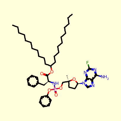 CCCCCCCCCCCC(CCCCCCCCCCC)OC(=O)[C@H](Cc1ccccc1)NP(=O)(OC[C@]1(C)CC[C@H](n2cnc3c(N)nc(F)nc32)O1)Oc1ccccc1